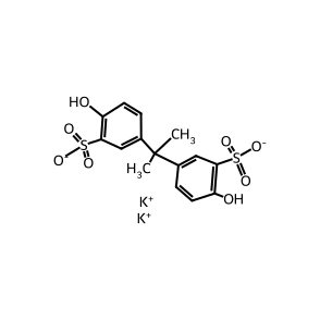 CC(C)(c1ccc(O)c(S(=O)(=O)[O-])c1)c1ccc(O)c(S(=O)(=O)[O-])c1.[K+].[K+]